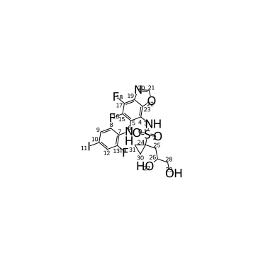 O=S(=O)(Nc1c(Nc2ccc(I)cc2F)c(F)c(F)c2ncoc12)C1(CC(O)CO)CC1